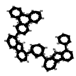 c1ccc(-c2cccc3c2sc2c(-c4cccc(-c5cccc6c5sc5c(-c7ccc8c9ccccc9c9ccccc9c8c7)cccc56)c4)cccc23)cc1